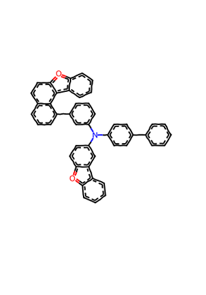 c1ccc(-c2ccc(N(c3cccc(-c4cccc5ccc6oc7ccccc7c6c45)c3)c3ccc4oc5ccccc5c4c3)cc2)cc1